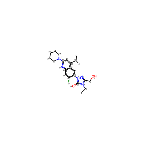 CCn1c(CO)nn(-c2cc3c(C(C)C)cc(N4CCCCC4)nc3cc2F)c1=O